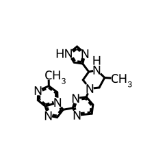 Cc1cn2c(-c3nccc(N4CC(C)NC(c5c[nH]cn5)C4)n3)cnc2cn1